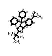 CCC(C)(C)c1cc2c(s1)-c1ccc(C(C)C)cc1C2(c1ccccc1)c1ccccc1